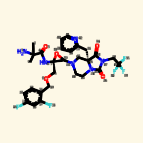 CC(C)(N)C(=O)N[C@]1(COCc2ccc(F)cc2F)OC1N1CCN2C(=O)N(CC(F)(F)F)C(=O)[C@]2(Cc2ccccn2)C1